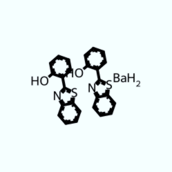 Oc1ccccc1-c1nc2ccccc2s1.Oc1ccccc1-c1nc2ccccc2s1.[BaH2]